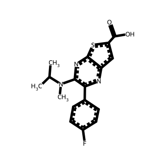 CC(C)N(C)c1nc2sc(C(=O)O)cc2nc1-c1ccc(F)cc1